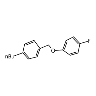 CCCCc1ccc(COc2ccc(F)cc2)cc1